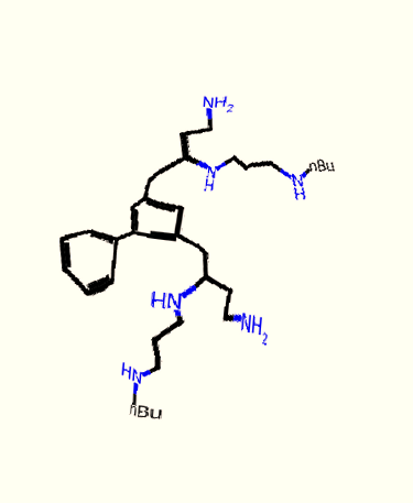 CCCCNCCCNC(CCN)Cc1cc(CC(CCN)NCCCNCCCC)cc(-c2ccccc2)c1